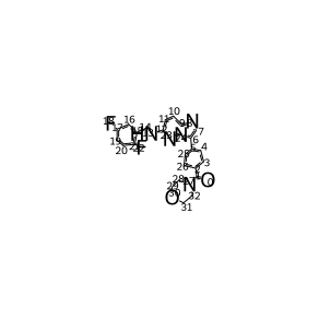 O=C(c1ccc(-c2cnc3ccc(NCc4cc(F)ccc4F)nn23)cc1)N1CCOCC1